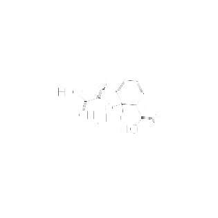 C=C(C)C(=O)OC1(C)C=CC=CC1C(=O)O